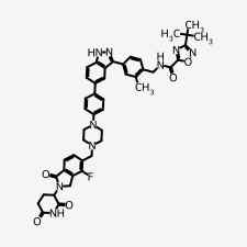 Cc1cc(-c2n[nH]c3ccc(-c4ccc(N5CCN(Cc6ccc7c(c6F)CN(C6CCC(=O)NC6=O)C7=O)CC5)cc4)cc23)ccc1CNC(=O)c1nc(C(C)(C)C)no1